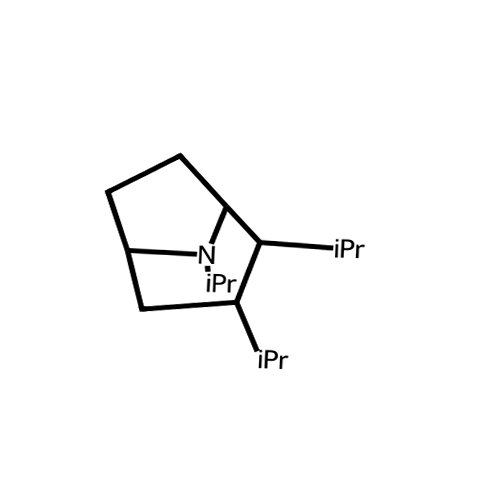 CC(C)C1CC2CCC(C1C(C)C)N2C(C)C